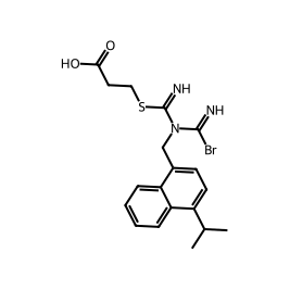 CC(C)c1ccc(CN(C(=N)Br)C(=N)SCCC(=O)O)c2ccccc12